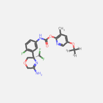 [2H]C([2H])([2H])Oc1cnc(OC(=O)Nc2ccc(F)c([C@]3(C(F)F)COCC(N)=N3)c2)c(C)c1